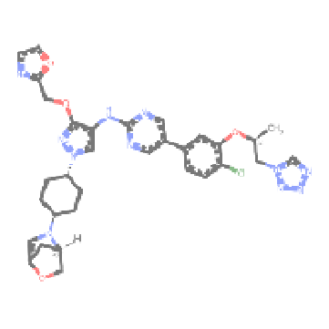 C[C@@H](Cn1cnnn1)Oc1cc(-c2cnc(Nc3cn([C@H]4CC[C@H](N5C=C6C[C@@H]5CO6)CC4)nc3OCc3ncco3)nc2)ccc1Cl